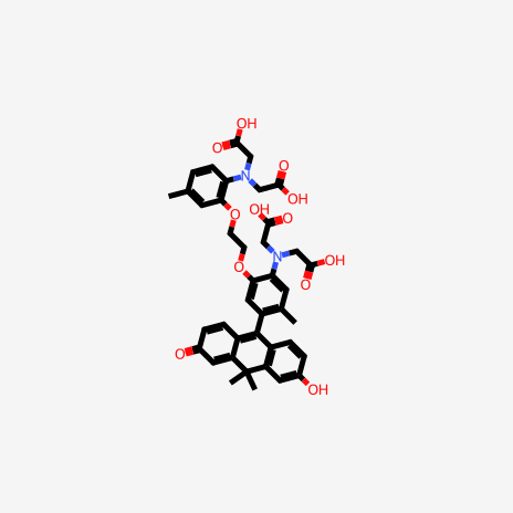 Cc1ccc(N(CC(=O)O)CC(=O)O)c(OCCOc2cc(C3=C4C=CC(=O)C=C4C(C)(C)c4cc(O)ccc43)c(C)cc2N(CC(=O)O)CC(=O)O)c1